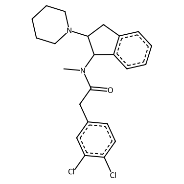 CN(C(=O)Cc1ccc(Cl)c(Cl)c1)C1c2ccccc2CC1N1CCCCC1